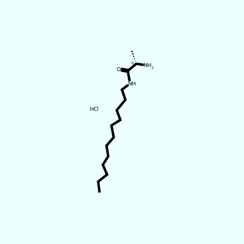 CCCCCCCCCCCCNC(=O)[C@H](C)N.Cl